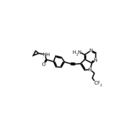 Nc1ncnc2c1c(C#Cc1ccc(C(=O)NC3CC3)cc1)cn2CCC(F)(F)F